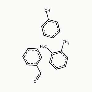 Cc1ccccc1C.O=Cc1ccccc1.Oc1ccccc1